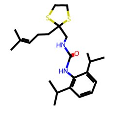 CC(C)=CCCC1(CNC(=O)Nc2c(C(C)C)cccc2C(C)C)SCCS1